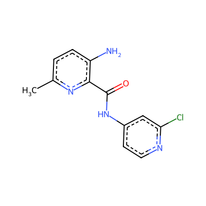 Cc1ccc(N)c(C(=O)Nc2ccnc(Cl)c2)n1